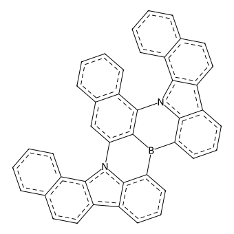 c1ccc2c3c4c(cc2c1)-n1c2c(cccc2c2ccc5ccccc5c21)B4c1cccc2c4ccc5ccccc5c4n-3c12